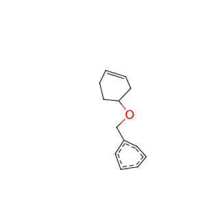 C1=CCC(OCc2ccccc2)CC1